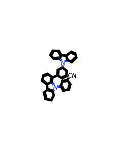 N#Cc1cccc(-n2c3c(c4cccc(C5=CC(N6c7ccccc7C7C=CC=CC76)CC=C5)c42)C=CCC3)c1